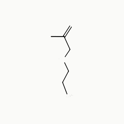 C=C(C)CO[CH]CCCC